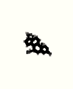 CC[C@@H]1CC2=CC(=O)CC[C@]2(C)C2CC[C@@]3(C)C(CC[C@@H]3O)C21